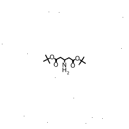 CC(C)(C)OC(=O)CC(N)CC(=O)OC(C)(C)C